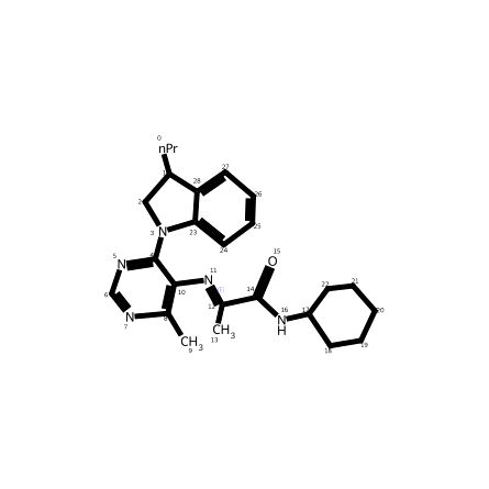 CCCC1CN(c2ncnc(C)c2/N=C(\C)C(=O)NC2CCCCC2)c2ccccc21